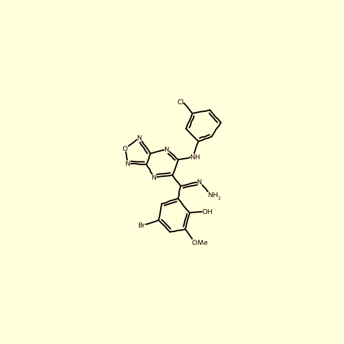 COc1cc(Br)cc(C(=NN)c2nc3nonc3nc2Nc2cccc(Cl)c2)c1O